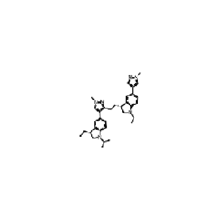 CC[C@@H]1CN(C(C)C)c2ccc(-c3cn(C)nc3CC[C@H]3CN(CC)c4ccc(-c5cnn(C)c5)cc43)cc21